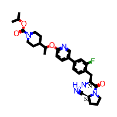 CC(C)OC(=O)N1CCC(C(C)Oc2ccc(-c3ccc(C[C@H](N)C(=O)N4CCC[C@H]4C#N)c(F)c3)cn2)CC1